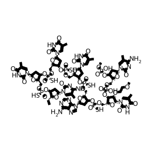 CC[C@H]1O[C@@H](n2cc(C)c(N)nc2=O)CC1OP(=O)(S)OC[C@H]1O[C@@H](n2cc(C)c(=O)[nH]c2=O)CC1OP(=O)(S)OC[C@H]1O[C@@H](n2cc(C)c(=O)[nH]c2=O)CC1OP(=O)(S)OC[C@H]1O[C@@H](n2cc(C)c(=O)[nH]c2=O)CC1OP(=O)(S)OC[C@H]1O[C@@H](n2cnc3c(N)ncnc32)CC1OP(=O)(S)OC[C@H]1O[C@@H](n2cc(C)c(=O)[nH]c2=O)[C@@H](OCCOC)C1OP(=O)(O)OC[C@H]1O[C@@H](n2cc(C)c(N)nc2=O)CC1OP(=O)(O)OC